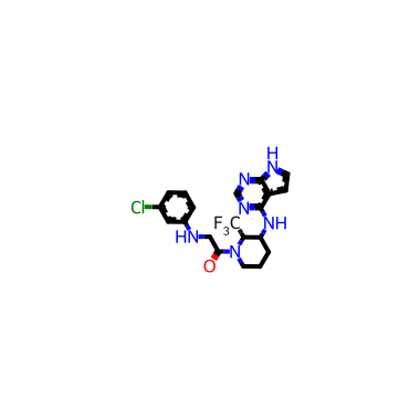 O=C(CNc1cccc(Cl)c1)N1CCCC(Nc2ncnc3[nH]ccc23)C1C(F)(F)F